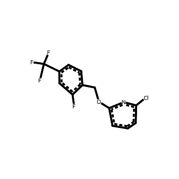 Fc1cc(C(F)(F)F)ccc1COc1cccc(Cl)n1